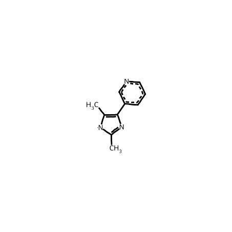 CC1=NC(c2cccnc2)=C(C)[N]1